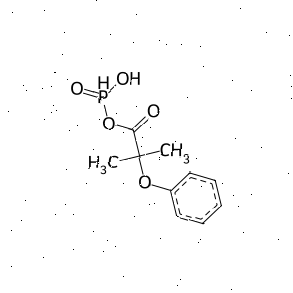 CC(C)(Oc1ccccc1)C(=O)O[PH](=O)O